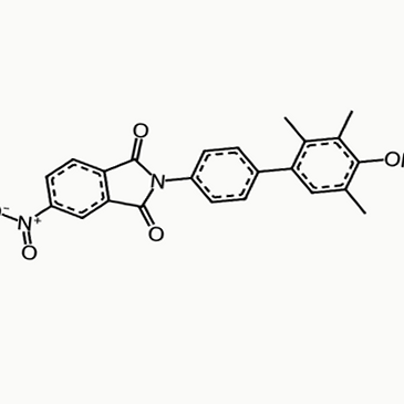 Cc1cc(-c2ccc(N3C(=O)c4ccc([N+](=O)[O-])cc4C3=O)cc2)c(C)c(C)c1O